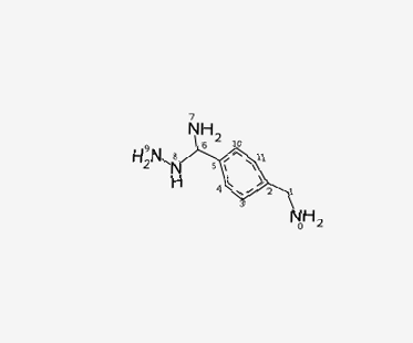 NCc1ccc(C(N)NN)cc1